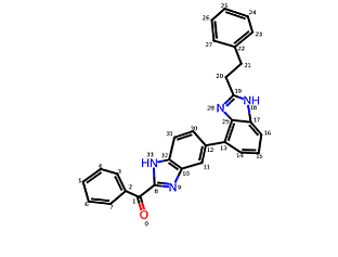 O=C(c1ccccc1)c1nc2cc(-c3cccc4[nH]c(CCc5ccccc5)nc34)ccc2[nH]1